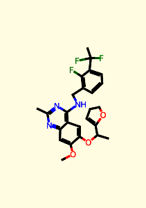 COc1cc2nc(C)nc(NCc3cccc(C(C)(F)F)c3F)c2cc1OC(C)C1=CCCO1